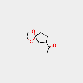 CC(=O)C1CCC2(C1)OCCO2